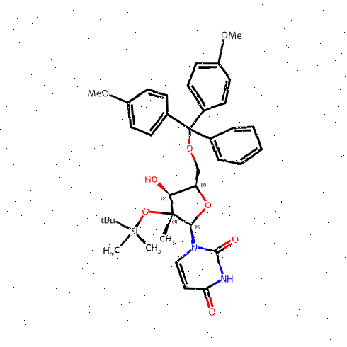 COc1ccc(C(OC[C@H]2O[C@@H](n3ccc(=O)[nH]c3=O)[C@](C)(O[Si](C)(C)C(C)(C)C)[C@H]2O)(c2ccccc2)c2ccc(OC)cc2)cc1